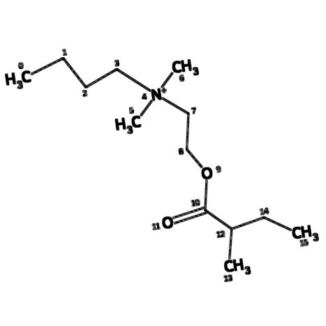 CCCC[N+](C)(C)CCOC(=O)C(C)CC